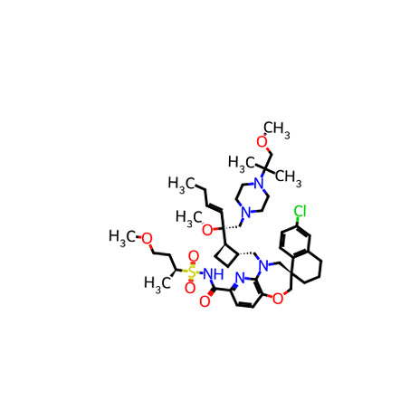 CC/C=C/[C@](CN1CCN(C(C)(C)COC)CC1)(OC)[C@@H]1CC[C@H]1CN1C[C@@]2(CCCc3cc(Cl)ccc32)COc2ccc(C(=O)NS(=O)(=O)[C@@H](C)CCOC)nc21